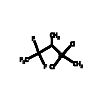 CC(C(F)(F)C(F)(F)F)[Si](C)(Cl)Cl